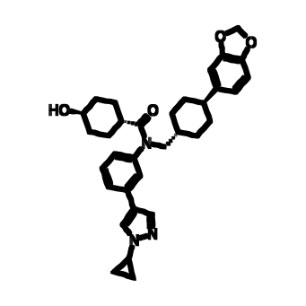 O=C([C@H]1CC[C@H](O)CC1)N(C[C@H]1CC[C@H](c2ccc3c(c2)OCO3)CC1)c1cccc(-c2cnn(C3CC3)c2)c1